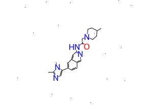 Cc1ncc(-c2ccc3cnc(NC(=O)CN4CCC(C)CC4)cc3c2)n1C